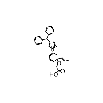 CC=CC1(OCC(=O)O)C=CC=C(n2cc(C(c3ccccc3)c3ccccc3)cn2)C1